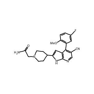 COc1ccc(F)cc1-c1c(C#N)cnc2[nH]c(C3CCN(CC(N)=O)CC3)cc12